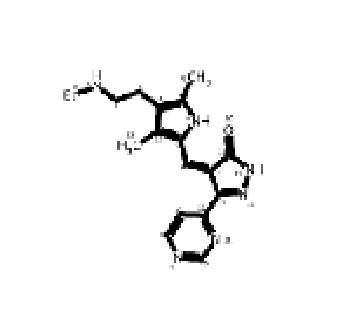 CCNCCc1c(C)[nH]c(C=C2C(=O)NN=C2c2ccncn2)c1C